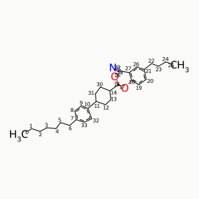 CCCCCCCc1ccc(C2CCC(C(=O)Oc3ccc(CCCC)cc3C#N)CC2)cc1